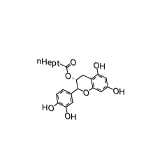 CCCCCCCC(=O)O[C@@H]1Cc2c(O)cc(O)cc2OC1c1ccc(O)c(O)c1